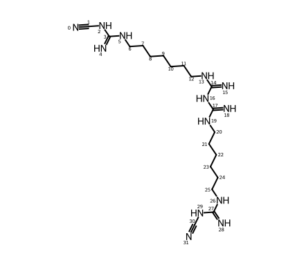 N#CNC(=N)NCCCCCCCNC(=N)NC(=N)NCCCCCCNC(=N)NC#N